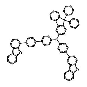 c1ccc(C2(c3ccccc3)c3ccccc3-c3cc(N(c4ccc(-c5ccc(-c6cccc7c6oc6ccccc67)cc5)cc4)c4ccc(-c5ccc6oc7ccccc7c6c5)cc4)ccc32)cc1